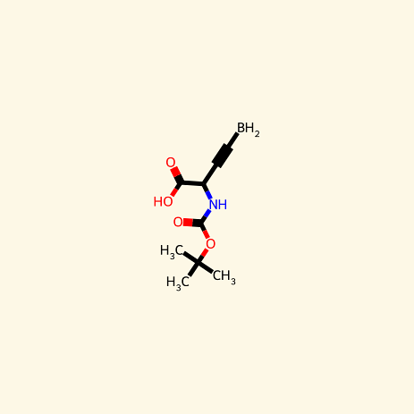 BC#CC(NC(=O)OC(C)(C)C)C(=O)O